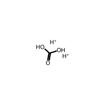 O=C(O)O.[H+].[H+]